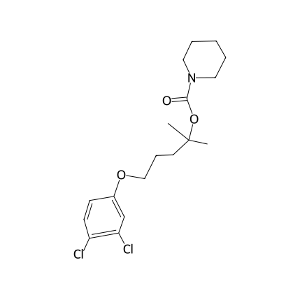 CC(C)(CCCOc1ccc(Cl)c(Cl)c1)OC(=O)N1CCCCC1